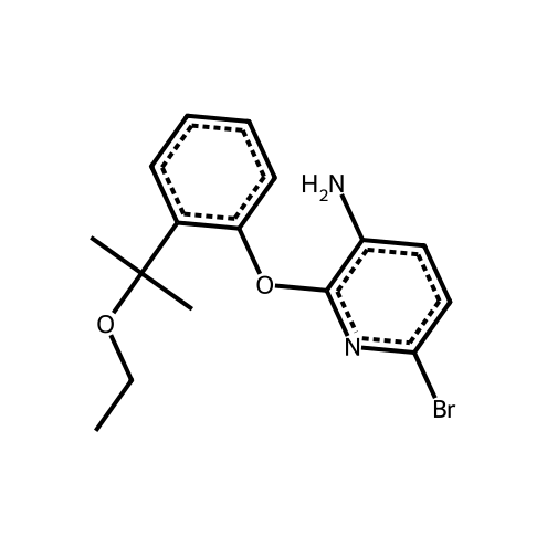 CCOC(C)(C)c1ccccc1Oc1nc(Br)ccc1N